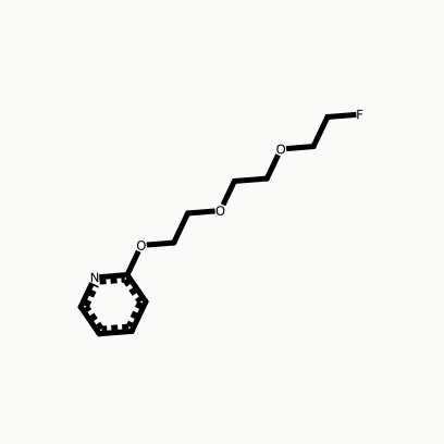 FCCOCCOCCOc1ccccn1